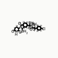 BC1c2cc(C(B)(B)N(B)C(=O)C(F)(F)c3ccc(Cl)cc3)ccc2C(=O)N1C1CCC(=O)NC1=O